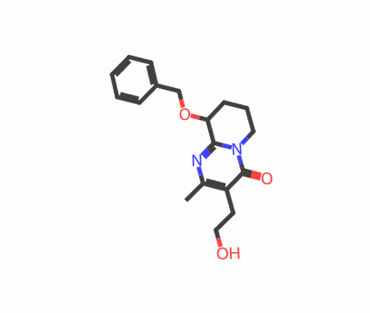 Cc1nc2n(c(=O)c1CCO)CCCC2OCc1ccccc1